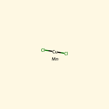 [Cl][Cu][Cl].[Mn]